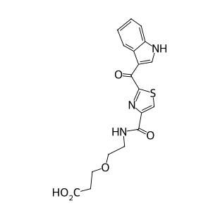 O=C(O)CCOCCNC(=O)c1csc(C(=O)c2c[nH]c3ccccc23)n1